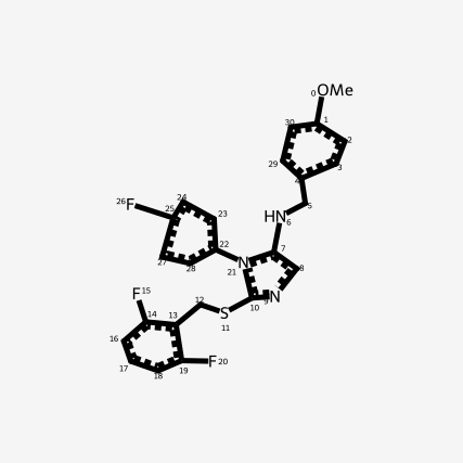 COc1ccc(CNc2cnc(SCc3c(F)cccc3F)n2-c2ccc(F)cc2)cc1